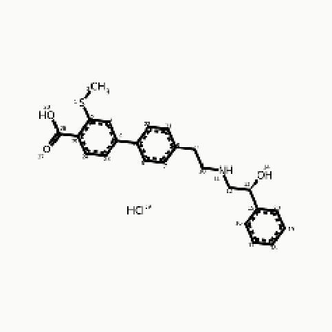 CSc1cc(-c2ccc(CCNC[C@@H](O)c3ccccc3)cc2)ccc1C(=O)O.Cl